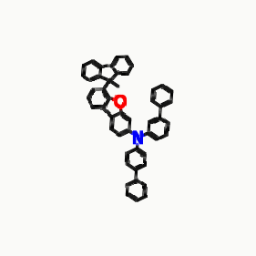 CC1(c2cccc3c2oc2cc(N(c4ccc(-c5ccccc5)cc4)c4cccc(-c5ccccc5)c4)ccc23)c2ccccc2-c2ccccc21